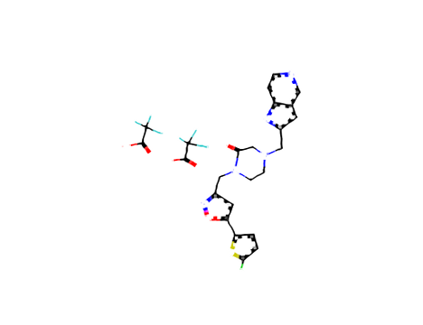 O=C(O)C(F)(F)F.O=C(O)C(F)(F)F.O=C1CN(Cc2cc3cnccc3[nH]2)CCN1Cc1cc(-c2ccc(Cl)s2)on1